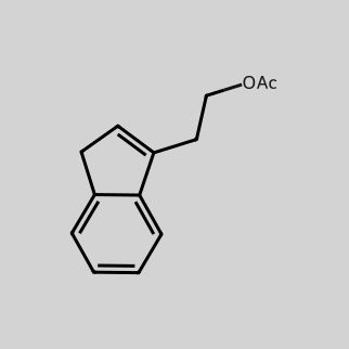 CC(=O)OCCC1=CCc2ccccc21